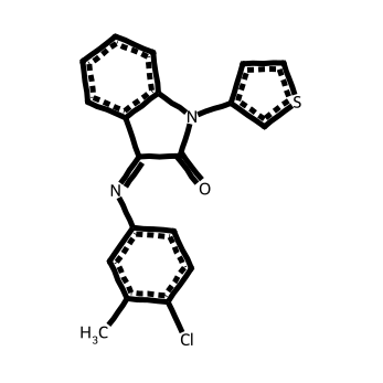 Cc1cc(N=C2C(=O)N(c3ccsc3)c3ccccc32)ccc1Cl